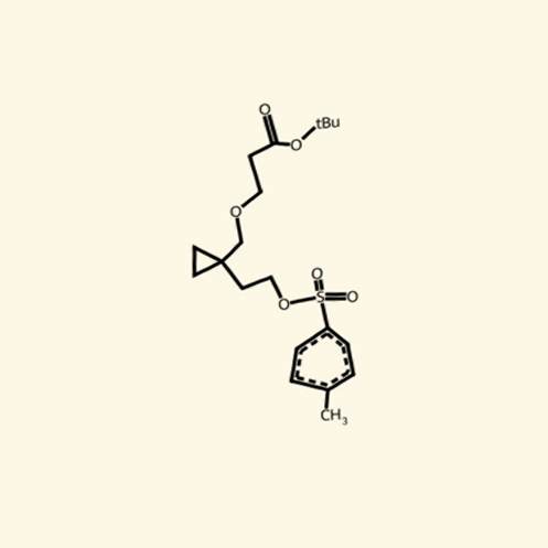 Cc1ccc(S(=O)(=O)OCCC2(COCCC(=O)OC(C)(C)C)CC2)cc1